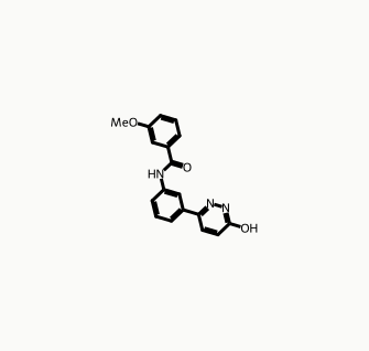 COc1cccc(C(=O)Nc2cccc(-c3ccc(O)nn3)c2)c1